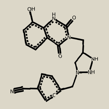 N#Cc1ccc(CN2CC(Cn3c(=O)[nH]c4c(O)cccc4c3=O)NN2)cc1